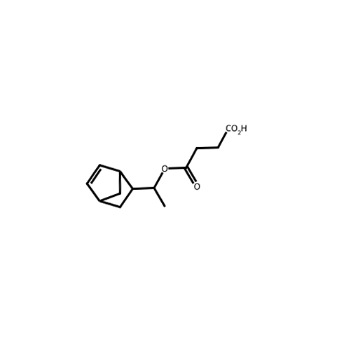 CC(OC(=O)CCC(=O)O)C1CC2C=CC1C2